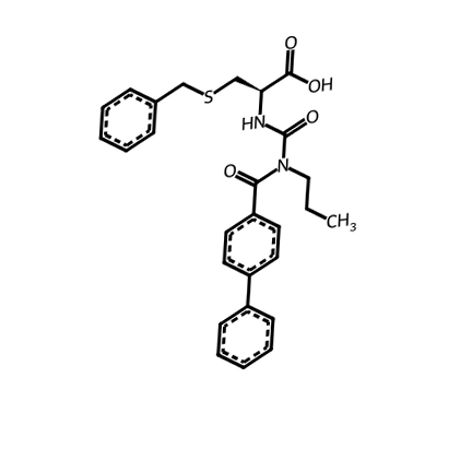 CCCN(C(=O)N[C@@H](CSCc1ccccc1)C(=O)O)C(=O)c1ccc(-c2ccccc2)cc1